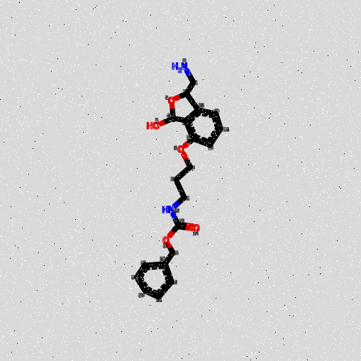 NCC1OB(O)c2c(OCCCNC(=O)OCc3ccccc3)cccc21